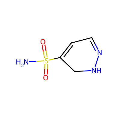 NS(=O)(=O)C1=CC=NNC1